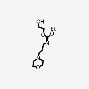 CCOC(=NCCCN1CCOCC1)OCCO